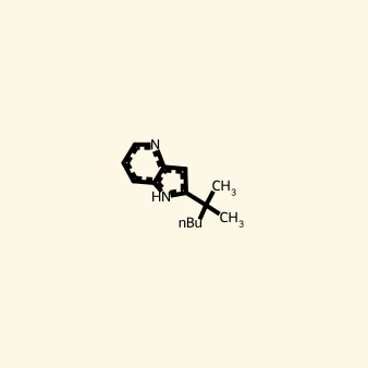 CCCCC(C)(C)c1cc2ncccc2[nH]1